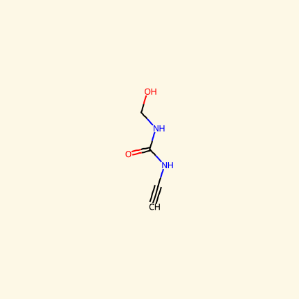 C#CNC(=O)NCO